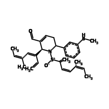 C=C/C(=C\C(C)=C/C)[C@H]1C(C=O)=CCC(c2cccc(BC)c2)N1[S+]([O-])C(=C)/C=C\C(C)=C/C